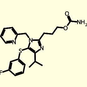 CC(C)c1nc(CCCOC(N)=O)n(Cc2ccccn2)c1Sc1cccc(F)c1